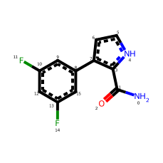 NC(=O)c1[nH]ccc1-c1cc(F)cc(F)c1